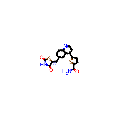 NC(=O)c1ccc(-c2ccnc3ccc(/C=C4\SC(=O)NC4=O)cc23)s1